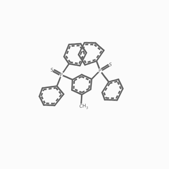 Cc1cc(P(=S)(c2ccccc2)c2ccccc2)cc(P(=S)(c2ccccc2)c2ccccc2)c1